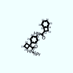 CCCNC(=O)C1(c2ccc(NC(=O)C3Cc4ccccc43)cc2)CCC1